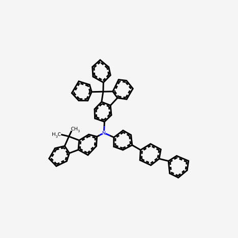 CC1(C)c2ccccc2-c2ccc(N(c3ccc(-c4ccc(-c5ccccc5)cc4)cc3)c3ccc4c(c3)-c3ccccc3C4(c3ccccc3)c3ccccc3)cc21